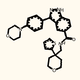 O=C(NCC1(c2cccs2)CCOCC1)c1ccc2[nH]nc(-c3ccc(N4CCOCC4)cc3)c2c1